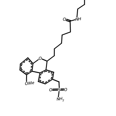 COCCNC(=O)CCCCCC1Oc2cccc(OC)c2-c2ccc(CS(N)(=O)=O)cc21